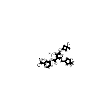 NC(=O)c1cc(NC(=O)c2c(C(F)(F)F)c(OC3CC(F)(F)C3)nn2CC2CCC(F)(F)C2)ccn1